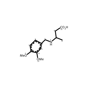 COc1ccc(CNC(C)CC(=O)O)cc1OC